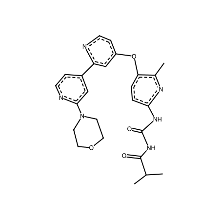 Cc1nc(NC(=O)NC(=O)C(C)C)ccc1Oc1ccnc(-c2ccnc(N3CCOCC3)c2)c1